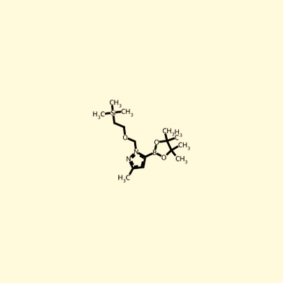 Cc1cc(B2OC(C)(C)C(C)(C)O2)n(COCC[Si](C)(C)C)n1